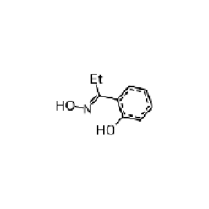 CCC(=NO)c1ccccc1O